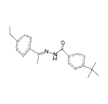 CCc1ccc(C(C)=NNC(=O)c2ccc(C(C)(C)C)cc2)cc1